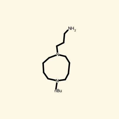 CCCCN1CCCCN(CCCN)CCCC1